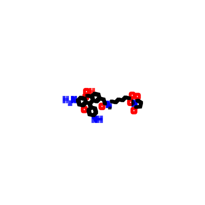 CN(CCCCCC(=O)ON1C(=O)CCC1=O)C(=O)Cc1ccc(C(=O)O)c(-c2c3ccc(=N)cc-3oc3cc(N)ccc23)c1